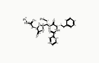 CC(C)C[C@H](NC(=O)[C@H](CCc1ccccc1)NC(=O)c1cnccn1)B1OC(=O)[C@@H](CC(=O)NC(C)C)O1